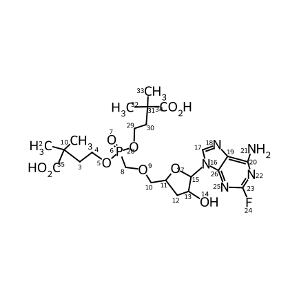 CC(C)(CCOP(=O)(COCC1CC(O)C(n2cnc3c(N)nc(F)nc32)O1)OCCC(C)(C)C(=O)O)C(=O)O